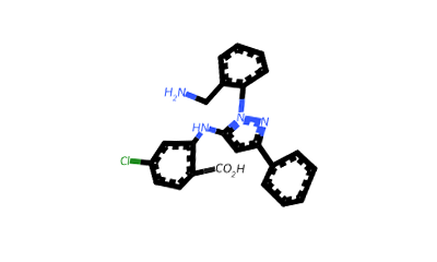 NCc1ccccc1-n1nc(-c2ccccc2)cc1Nc1cc(Cl)ccc1C(=O)O